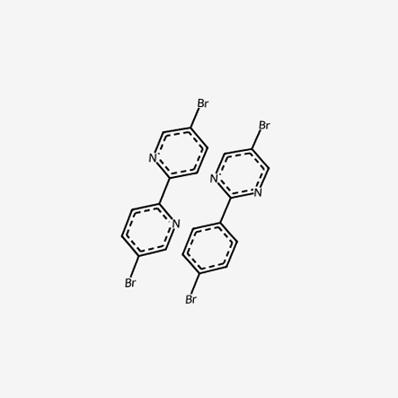 Brc1ccc(-c2ccc(Br)cn2)nc1.Brc1ccc(-c2ncc(Br)cn2)cc1